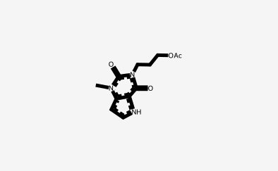 CC(=O)OCCCn1c(=O)c2[nH]ccc2n(C)c1=O